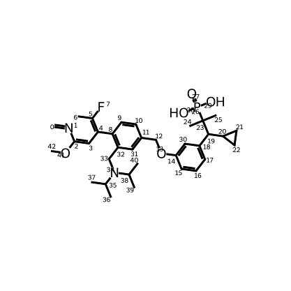 C=N/C(=C\C(=C(/C)F)c1ccc(COc2cccc(C(C3CC3)C(C)(C)P(=O)(O)O)c2)cc1CN(C(C)C)C(C)C)OC